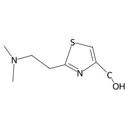 CN(C)CCc1nc(CO)cs1